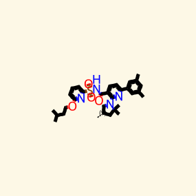 Cc1cc(C)cc(-c2ccc(C(=O)NS(=O)(=O)c3cccc(OCCC(C)C)n3)c(N3C[C@@H](C)CC3(C)C)n2)c1